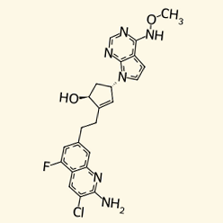 CONc1ncnc2c1ccn2[C@@H]1C=C(CCc2cc(F)c3cc(Cl)c(N)nc3c2)[C@@H](O)C1